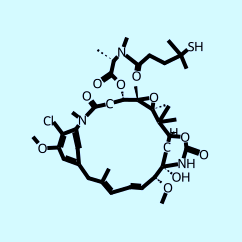 COc1cc2cc(c1Cl)N(C)C(=O)C[C@H](OC(=O)[C@H](C)N(C)C(=O)CCC(C)(C)S)[C@]1(C)O[C@@]1(C)C(C)(C)[C@@H]1C[C@@](O)(NC(=O)O1)[C@H](OC)/C=C/C=C(\C)C2